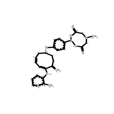 C=C1CC[C@@H](Oc2ccc(B3OC(=O)CN(C)CC(=O)O3)cc2)C/C=C\C=C/1Oc1cccnc1C